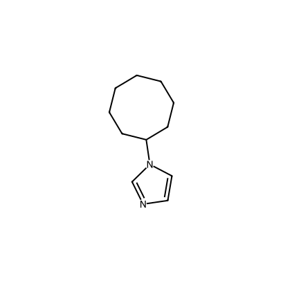 c1cn(C2CCCCCCC2)cn1